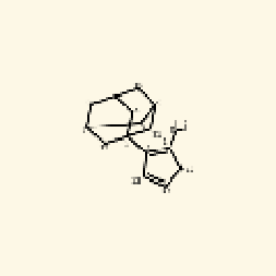 [Li][C]1=C(C23CC4CC(CC(C4)C2)C3)C=CC1